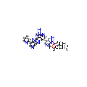 CC(C)(C)CC(=O)Nc1cncc(-c2cnc3[nH]nc(-c4nc5c(-c6ccccn6)cncc5[nH]4)c3c2)c1